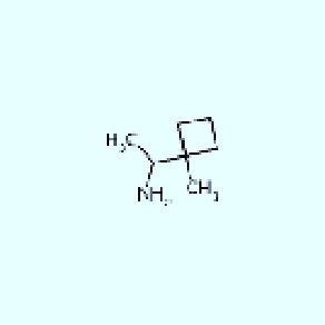 CC(N)C1(C)CCC1